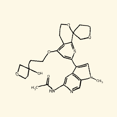 CC(=O)Nc1cc2c(-c3cc(OCCC4(O)COC4)c4c(n3)C3(CCOC3)OCC4)cn(C)c2cn1